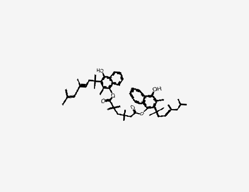 C/C(=C\CC(C)(C)c1c(C)c(OC(=O)C(C)(C)CC(C)(C)CC(=O)Oc2c(C(C)(C)C/C=C(\C)CC(C)C)c(C)c(O)c3ccccc23)c2ccccc2c1O)CC(C)C